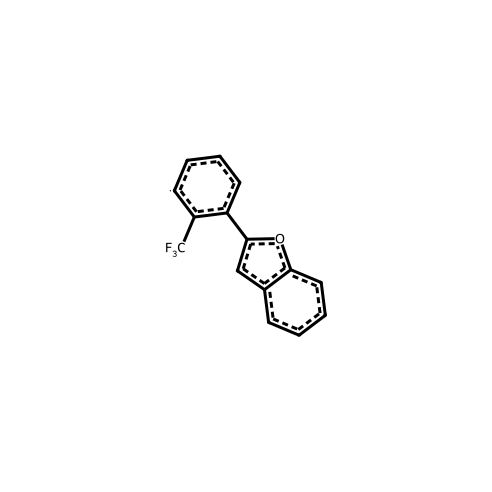 FC(F)(F)c1[c]cccc1-c1cc2ccccc2o1